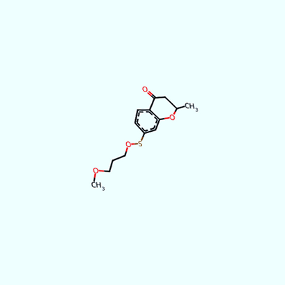 COCCCOSc1ccc2c(c1)OC(C)CC2=O